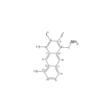 NCc1c(I)c(I)c(I)c2cc3c(I)cccc3cc12